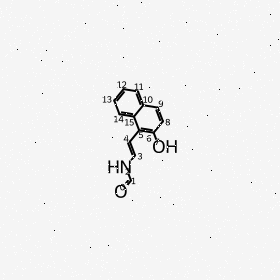 O=CN/C=C/c1c(O)ccc2ccccc12